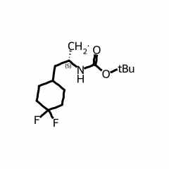 [CH2][C@@H](CC1CCC(F)(F)CC1)NC(=O)OC(C)(C)C